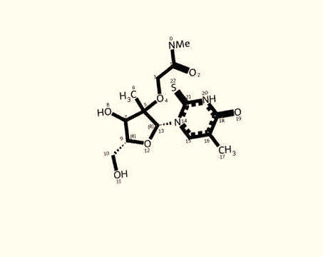 CNC(=O)COC1(C)C(O)[C@@H](CO)O[C@H]1n1cc(C)c(=O)[nH]c1=S